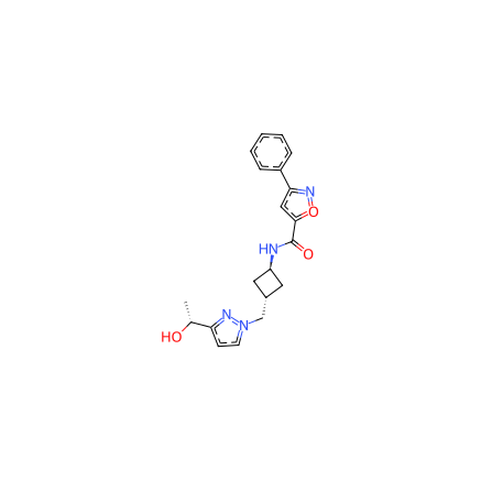 C[C@@H](O)c1ccn(C[C@H]2C[C@H](NC(=O)c3cc(-c4ccccc4)no3)C2)n1